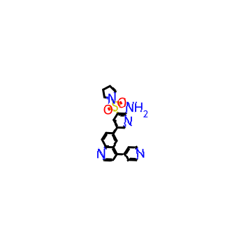 Nc1ncc(-c2ccc3nccc(-c4ccncc4)c3c2)cc1S(=O)(=O)N1CCCC1